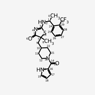 C[C@H](NC1=NC(=O)C(C)(CC2CCN(C(=O)c3ccc[nH]3)CC2)S1)c1ccccc1C(F)(F)F